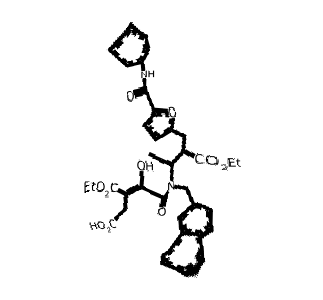 CCOC(=O)C(CC(=O)O)=C(O)C(=O)N(Cc1ccc2ccccc2c1)C(C)C(Cc1ccc(C(=O)Nc2ccccc2)o1)C(=O)OCC